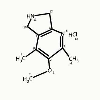 COc1c(C)nc2c(c1C)CNC2.Cl